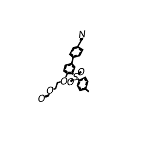 Cc1ccc(S(=O)(=O)c2cc(-c3ccc(C#N)cc3)ccc2OCCOC=O)cc1